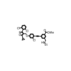 CCNCc1cc(C#Cc2ccc(OCc3c(-c4c(Cl)cccc4Cl)noc3C3CC3)cc2Cl)cc(C(=O)OC)c1